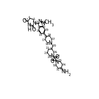 Cn1nc(N2CCC(=O)NC2=O)c2ccc(C3CCN(CC4CCCN(S(=O)(=O)N5CCC(N)CC5)C4)CC3)cc21